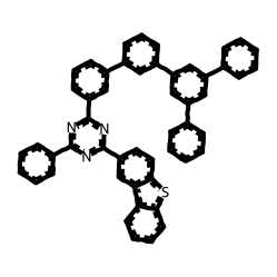 c1ccc(-c2cc(-c3ccccc3)cc(-c3cccc(-c4cccc(-c5nc(-c6ccccc6)nc(-c6ccc7sc8ccccc8c7c6)n5)c4)c3)c2)cc1